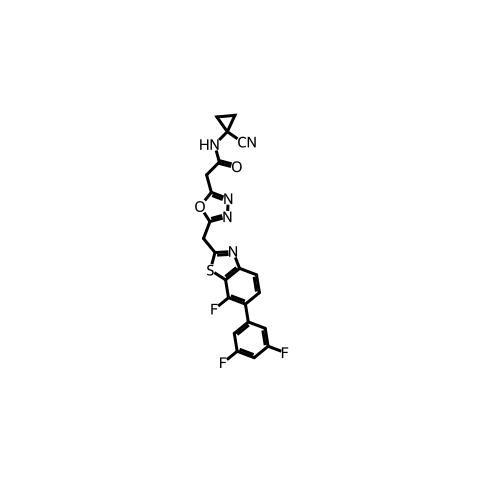 N#CC1(NC(=O)Cc2nnc(Cc3nc4ccc(-c5cc(F)cc(F)c5)c(F)c4s3)o2)CC1